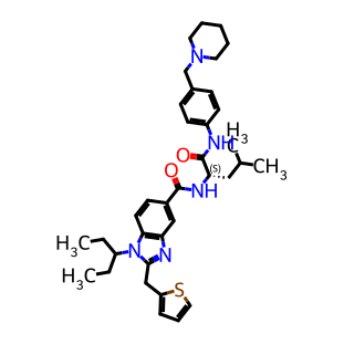 CCC(CC)n1c(Cc2cccs2)nc2cc(C(=O)N[C@@H](CC(C)C)C(=O)Nc3ccc(CN4CCCCC4)cc3)ccc21